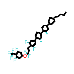 CCCCCc1ccc(-c2ccc(-c3ccc(-c4cc(F)c(/C=C/C(F)(F)Oc5cc(F)c(C(F)(F)F)c(F)c5)c(F)c4)c(F)c3)c(F)c2)cc1